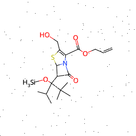 C=CCOC(=O)C1=C(CO)SC2C(C(O[SiH3])(C(C)C)C(C)(C)C)C(=O)N12